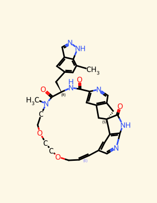 Cc1cc(C[C@H]2NC(=O)c3cc4c(cn3)C[C@]3(C4)C(=O)Nc4ncc(cc43)/C=C/COCCOCCN(C)C2=O)cc2cn[nH]c12